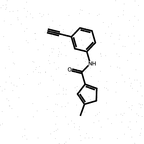 C#Cc1cccc(NC(=O)C2=CCC(C)=C2)c1